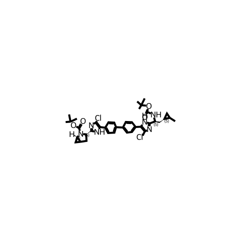 CC1C[C@H]1C[C@H](NC(=O)OC(C)(C)C)c1nc(Cl)c(-c2ccc(-c3ccc(-c4[nH]c([C@@H]5CC6C[C@H]6N5C(=O)OC(C)(C)C)nc4Cl)cc3)cc2)[nH]1